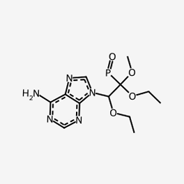 CCOC(n1cnc2c(N)ncnc21)C(OC)(OCC)P=O